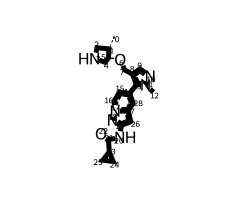 C[C@H]1CNC[C@H]1OCc1cnn(C)c1-c1ccn2nc(NC(=O)C3CC3)cc2c1